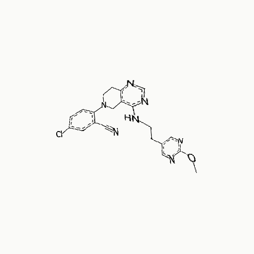 COc1ncc(CCNc2ncnc3c2CN(c2ccc(Cl)cc2C#N)CC3)cn1